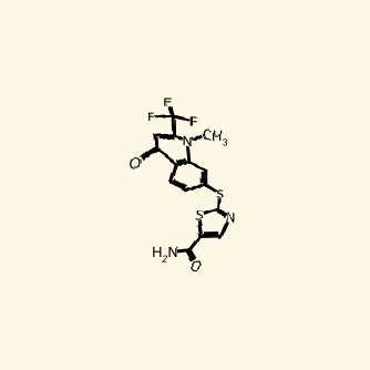 Cn1c(C(F)(F)F)cc(=O)c2ccc(Sc3ncc(C(N)=O)s3)cc21